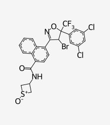 O=C(NC1C[S+]([O-])C1)c1ccc(C2=NOC(c3cc(Cl)cc(Cl)c3)(C(F)(F)F)C2Br)c2ccccc12